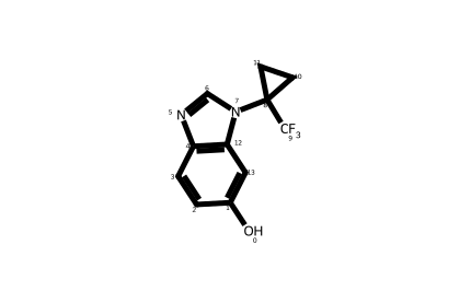 Oc1ccc2ncn(C3(C(F)(F)F)CC3)c2c1